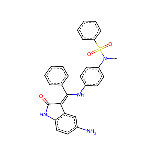 CN(c1ccc(NC(=C2C(=O)Nc3ccc(N)cc32)c2ccccc2)cc1)S(=O)(=O)c1ccccc1